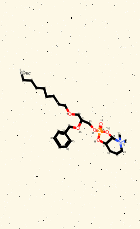 CCCCCCCCCCCCCCCCCCOCC(COP1(=O)OC2CCC[N+](C)(C)C2O1)OCc1ccccc1